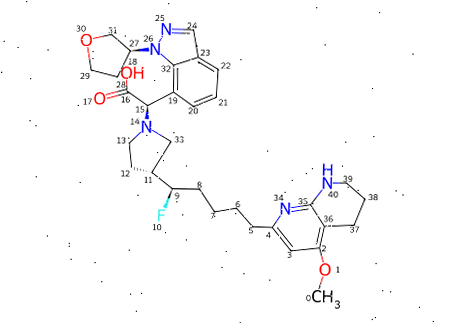 COc1cc(CCCC[C@@H](F)[C@@H]2CCN([C@@H](C(=O)O)c3cccc4cnn([C@H]5CCOC5)c34)C2)nc2c1CCCN2